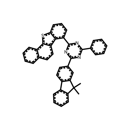 CC1(C)c2ccccc2-c2ccc(-c3nc(-c4ccccc4)nc(-c4cccc5sc6c7ccccc7ccc6c45)n3)cc21